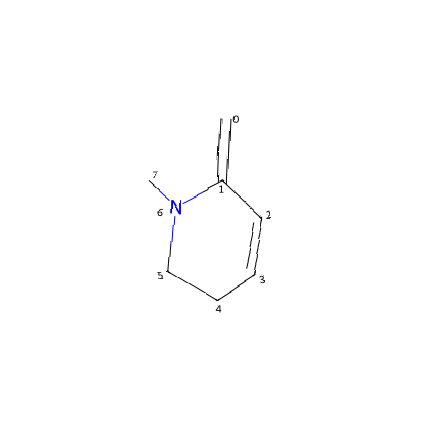 C=C1C=CCCN1C